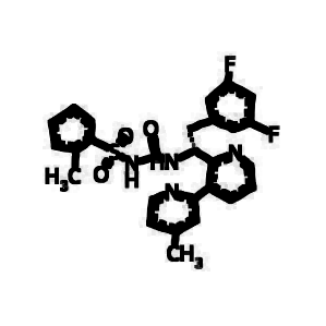 Cc1ccnc(-c2cccnc2[C@@H](Cc2cc(F)cc(F)c2)NC(=O)NS(=O)(=O)c2ccccc2C)c1